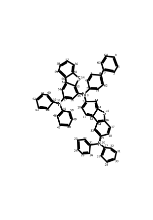 c1ccc(-c2ccc(N(c3ccc4c(c3)sc3ccc(N(c5ccccc5)c5ccccc5)cc34)c3cc(N(c4ccccc4)c4ccccc4)cc4c3sc3ccccc34)cc2)cc1